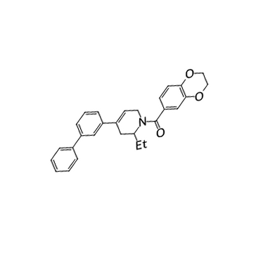 CCC1CC(c2cccc(-c3ccccc3)c2)=CCN1C(=O)c1ccc2c(c1)OCCO2